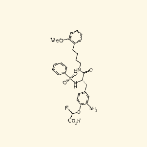 COc1ccccc1CCCCNC(=O)[C@H](Cc1ccc(OC(F)C(=O)O)c(N)c1)NS(=O)(=O)c1ccccc1